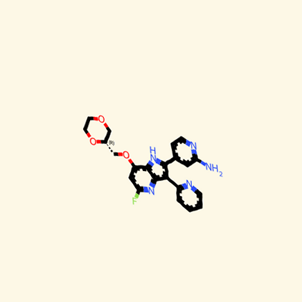 Nc1cc(-c2[nH]c3c(OC[C@H]4COCCO4)cc(F)nc3c2-c2ccccn2)ccn1